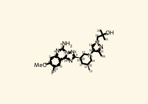 COc1cc2nc(N)n3nc([C@@H]4C[C@H](C)CN(c5cn(CC(C)(C)O)nc5C)C4)nc3c2cc1F